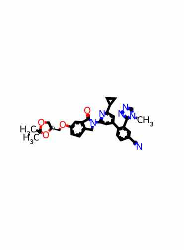 Cn1cnnc1-c1cc(C#N)ccc1-c1cc(C2CC2)nc(N2Cc3ccc(OC[C@@H]4COC(C)(C)O4)cc3C2=O)c1